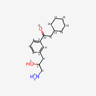 NCC(O)Cc1cccc(C(=O)CC2CCCCC2)c1